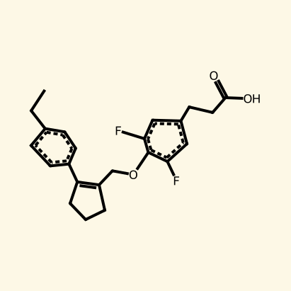 CCc1ccc(C2=C(COc3c(F)cc(CCC(=O)O)cc3F)CCC2)cc1